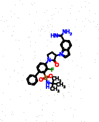 CC(C)(C)NS(=O)(=O)c1c(-c2ccccc2)ccc(N2CCC(n3ccc4ccc(C(=N)N)cc43)C2=O)c1F